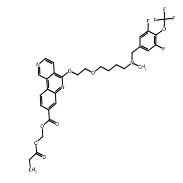 CCC(=O)OCOC(=O)c1ccc2c(c1)nc(OCCOCCCCN(C)Cc1cc(F)c(OC(F)(F)F)c(F)c1)c1ccncc12